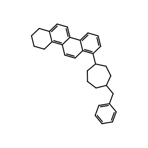 c1ccc(CC2CCCC(c3cccc4c3ccc3c5c(ccc34)CCCC5)CC2)cc1